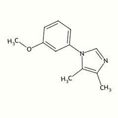 COc1cccc(-n2cnc(C)c2C)c1